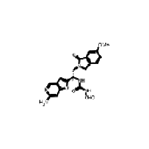 COc1ccc2c(c1)C(=O)N(C[C@H](NC(=O)NC=O)c1cc3cnc(N)cc3o1)C2